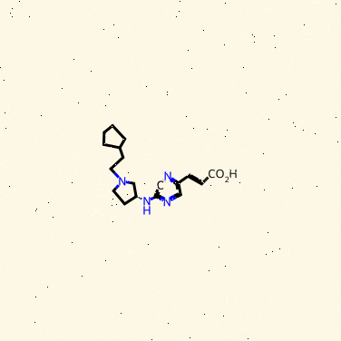 O=C(O)C=Cc1cnc(N[C@@H]2CCN(CCC3CCCC3)C2)cn1